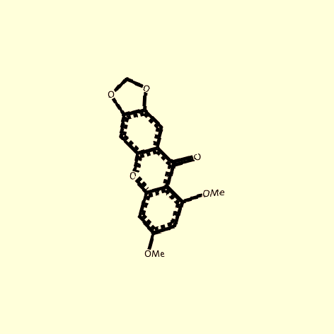 COc1cc(OC)c2c(=O)c3cc4c(cc3oc2c1)OCO4